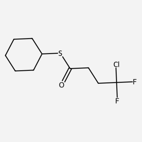 O=C(CCC(F)(F)Cl)SC1CCCCC1